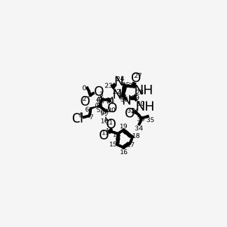 CC(=O)O[C@@H]1[C@H](CCCl)[C@@H](COC(=O)c2ccccc2)O[C@H]1n1cnc2c(=O)[nH]c(NC(=O)C(C)C)nc21